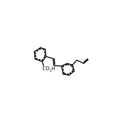 C=CCc1cccc(C=Cc2ccccc2C(=O)O)c1